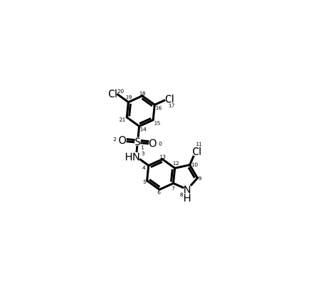 O=S(=O)(Nc1ccc2[nH]cc(Cl)c2c1)c1cc(Cl)cc(Cl)c1